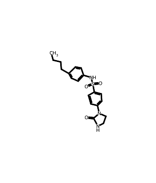 CCCCc1ccc(NS(=O)(=O)c2ccc(N3CCNC3=O)cc2)cc1